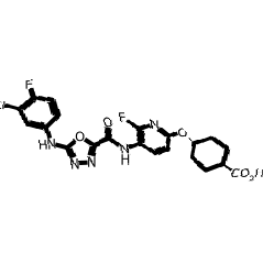 O=C(Nc1ccc(O[C@H]2CC[C@H](C(=O)O)CC2)nc1F)c1nnc(Nc2ccc(F)c(Cl)c2)o1